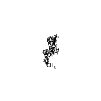 CCN1CCN(Cc2ccc(NC(=O)Nc3ccc(-c4nn(C5CC5)c5ncnc(N)c45)cc3F)cc2C(F)(F)F)CC1